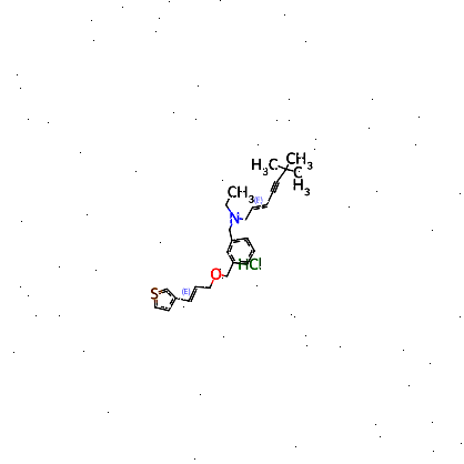 CCN(C/C=C/C#CC(C)(C)C)Cc1cccc(COC/C=C/c2ccsc2)c1.Cl